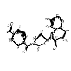 O=Cc1ccc(C(=O)N2CCC(N3C(=O)CCc4ccccc43)CC2)cc1